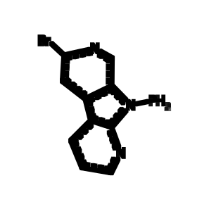 Pn1c2cnc(Br)cc2c2cccnc21